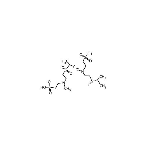 CC(C)[S+]([O-])CCN(CCC(C)S(=O)(=O)CCN(C)CCS(=O)(=O)O)CCS(=O)(=O)O